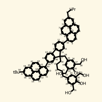 CC(C)Cc1cc2ccc3ccc(-c4ccc5c(c4)C(CCCCCc4cc(CO)c(O)c(CO)c4)(Cc4cc(CO)c(O)c(CO)c4)c4cc(-c6ccc7ccc8cc(C(C)(C)C)cc9ccc6c7c89)ccc4-5)c4ccc(c1)c2c34